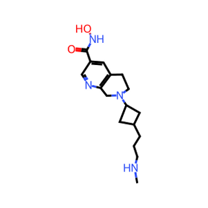 CNCCCC1CC(N2CCc3cc(C(=O)NO)cnc3C2)C1